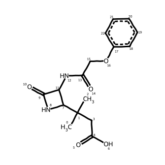 CC(C)(CC(=O)O)C1NC(=O)C1NC(=O)COc1ccccc1